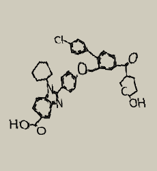 O=C(O)c1ccc2c(c1)nc(-c1ccc(OCc3cc(C(=O)C4CCC(O)CC4)ccc3-c3ccc(Cl)cc3)cc1)n2C1CCCCC1